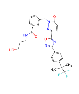 CC(C)(c1ccc(-c2noc(-c3ccc(=O)n(Cc4cccc(C(=O)NCCCO)c4)n3)n2)cc1)C(F)(F)F